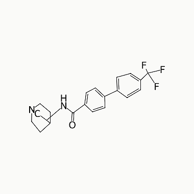 O=C(NC1CN2CCC1CC2)c1ccc(-c2ccc(C(F)(F)F)cc2)cc1